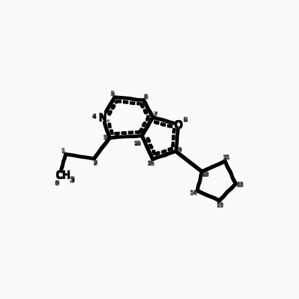 CCCc1nccc2oc(C3CCCC3)cc12